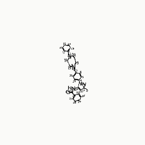 Cc1nn(-c2ccc(N3CCN(c4ccccc4)CC3)cc2)c2[nH]c(=O)c3ccccc3c12